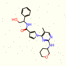 Cc1cnc(NC2CCCOC2)nc1-n1ccc(C(=O)NC(CO)c2ccccc2)c1